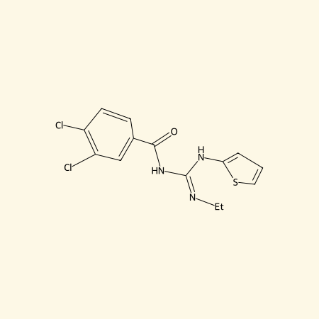 CCN=C(NC(=O)c1ccc(Cl)c(Cl)c1)Nc1cccs1